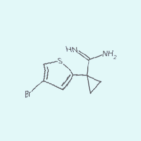 N=C(N)C1(c2cc(Br)cs2)CC1